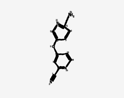 N#Cc1cc(Oc2ccc(N)nc2)ccn1